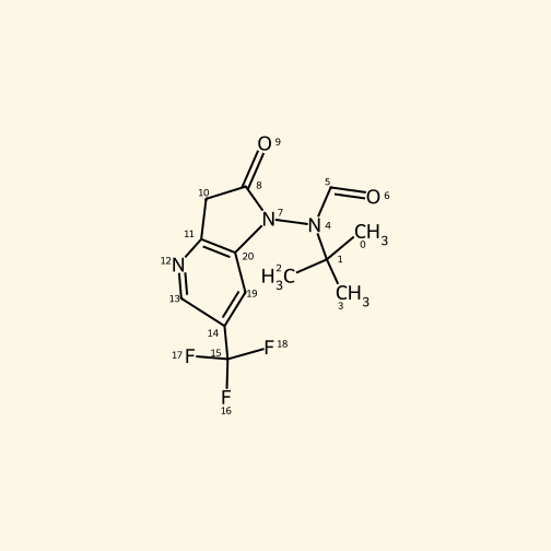 CC(C)(C)N(C=O)N1C(=O)Cc2ncc(C(F)(F)F)cc21